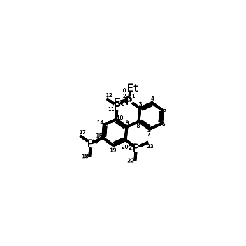 CCP(CC)c1ccccc1-c1c(P(C)C)[c]c(P(C)C)cc1P(C)C